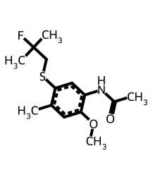 COc1cc(C)c(SCC(C)(C)F)cc1NC(C)=O